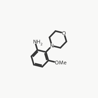 COc1cccc(N)c1N1CCOCC1